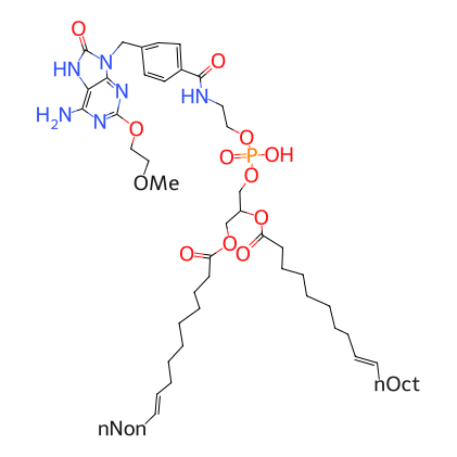 CCCCCCCC/C=C/CCCCCCCC(=O)OC(COC(=O)CCCCCCC/C=C/CCCCCCCCC)COP(=O)(O)OCCNC(=O)c1ccc(Cn2c(=O)[nH]c3c(N)nc(OCCOC)nc32)cc1